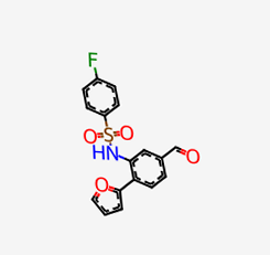 O=Cc1ccc(-c2ccco2)c(NS(=O)(=O)c2ccc(F)cc2)c1